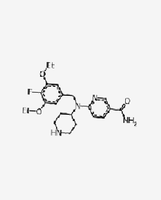 CCOc1cc(CN(c2ccc(C(N)=O)cn2)C2CCNCC2)cc(OCC)c1F